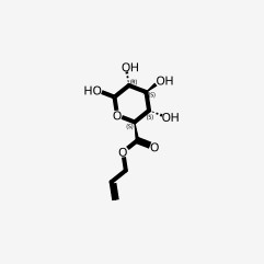 C=CCOC(=O)[C@H]1OC(O)[C@H](O)[C@@H](O)[C@@H]1O